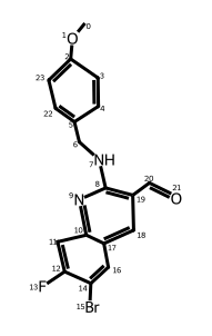 COc1ccc(CNc2nc3cc(F)c(Br)cc3cc2C=O)cc1